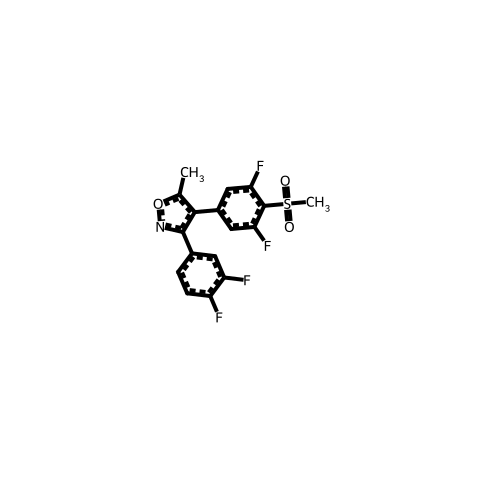 Cc1onc(-c2ccc(F)c(F)c2)c1-c1cc(F)c(S(C)(=O)=O)c(F)c1